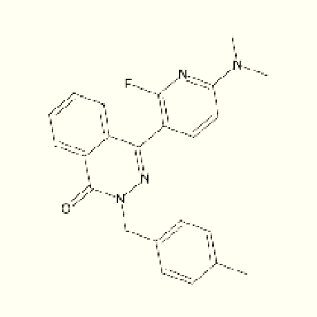 Cc1ccc(Cn2nc(-c3ccc(N(C)C)nc3F)c3ccccc3c2=O)cc1